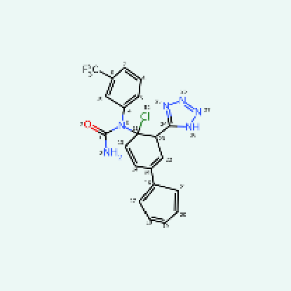 NC(=O)N(c1cccc(C(F)(F)F)c1)C1(Cl)C=CC(c2ccccc2)=CC1c1nnn[nH]1